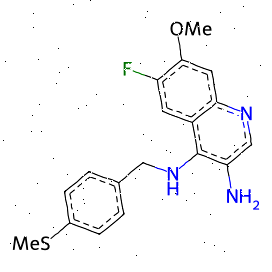 COc1cc2ncc(N)c(NCc3ccc(SC)cc3)c2cc1F